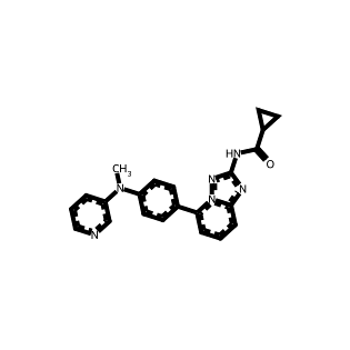 CN(c1ccc(-c2cccc3nc(NC(=O)C4CC4)nn23)cc1)c1cccnc1